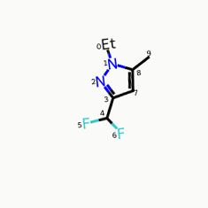 CCn1nc(C(F)F)cc1C